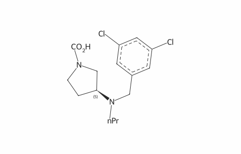 CCCN(Cc1cc(Cl)cc(Cl)c1)[C@H]1CCN(C(=O)O)C1